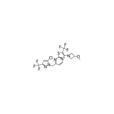 COC1CN(c2c(C(F)(F)F)sc3nc(Cn4nc(C(F)(F)F)cc4Cl)cc[n+]23)C1